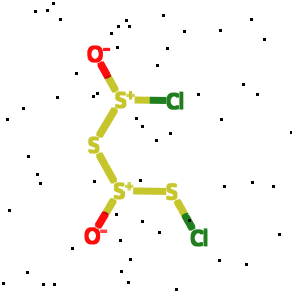 [O-][S+](Cl)S[S+]([O-])SCl